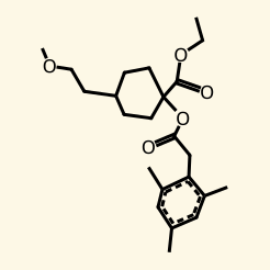 CCOC(=O)C1(OC(=O)Cc2c(C)cc(C)cc2C)CCC(CCOC)CC1